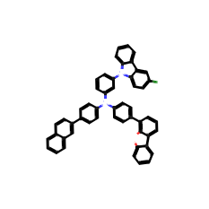 Fc1ccc2c(c1)c1ccccc1n2-c1cccc(N(c2ccc(-c3ccc4ccccc4c3)cc2)c2ccc(-c3cccc4c3oc3ccccc34)cc2)c1